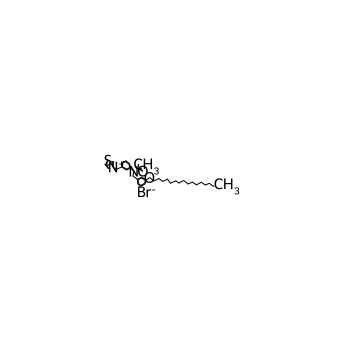 CCCCCCCCCCCCCCCCOc1cccc(CN(C(C)=O)c2cccc(C[n+]3ccsc3)c2)c1.[Br-]